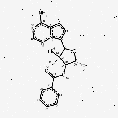 CC[C@H]1OC(c2ccc3c(N)ncnn23)[C@](C)(Cl)[C@@H]1OC(=O)c1ccccc1